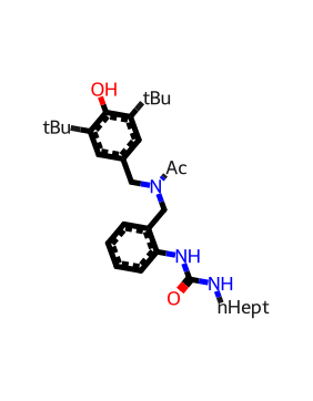 CCCCCCCNC(=O)Nc1ccccc1CN(Cc1cc(C(C)(C)C)c(O)c(C(C)(C)C)c1)C(C)=O